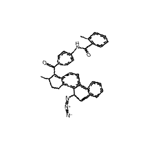 Cc1ccccc1C(=O)Nc1ccc(C(=O)C2=c3ccc4c(c3CCC2C)C(N=[N+]=[N-])C=c2ccccc2=4)cc1